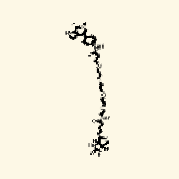 Cn1cc(-c2ccc(NC(=O)CCOCCOCCOCCOCCNC(=O)CCCC[C@@H]3SC[C@@H]4NC(=O)N[C@@H]43)cc2)c2cc[nH]c2c1=O